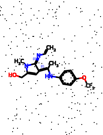 C=C/N=C1\C(=C(/C)Nc2ccc(OC(F)(F)F)cc2)C=C(CO)N1C